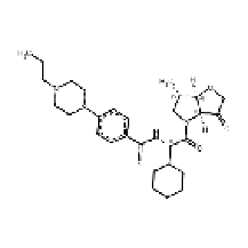 CCCN1CCN(c2ccc(C(=O)N[C@H](C(=O)N3C[C@H](C)[C@H]4OCC(=O)[C@H]43)C3CCCCC3)cc2)CC1